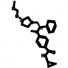 COCO[C@H]1CCN(C[C@H](c2ccccc2)N(C)c2ccc(C(=O)NC3CC3)cc2)C1